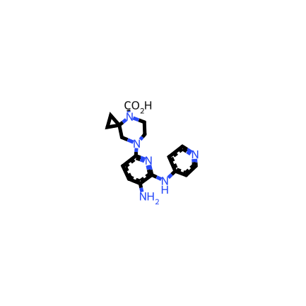 Nc1ccc(N2CCN(C(=O)O)C3(CC3)C2)nc1Nc1ccncc1